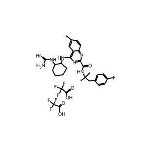 Cc1ccc2nc(C(=O)NC(C)(C)Cc3ccc(F)cc3)nc(NC3CCCCC3NC(=N)N)c2c1.O=C(O)C(F)(F)F.O=C(O)C(F)(F)F